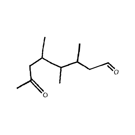 CC(=O)CC(C)C(C)C(C)CC=O